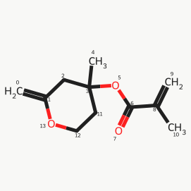 C=C1CC(C)(OC(=O)C(=C)C)CCO1